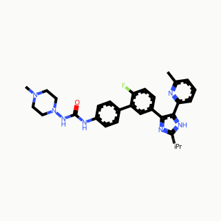 Cc1cccc(-c2[nH]c(C(C)C)nc2-c2ccc(F)c(-c3ccc(NC(=O)NN4CCN(C)CC4)cc3)c2)n1